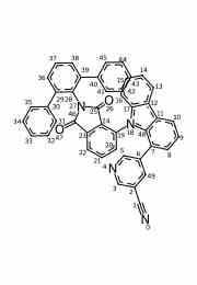 N#Cc1cncc(-c2cccc3c4ccccc4n(-c4cccc5c4C(=O)N(c4c(-c6ccccc6)cccc4-c4ccccc4)C5=O)c23)c1